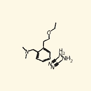 CCOCCc1ccccc1CN(C)C.N#CN.N#CN